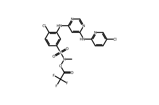 CN(OC(=O)C(F)(F)F)S(=O)(=O)c1ccc(Cl)c(Nc2cc(Nc3ccc(Cl)cn3)ncn2)c1